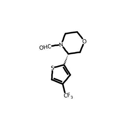 O=CN1CCOC[C@@H]1c1cc(C(F)(F)F)cs1